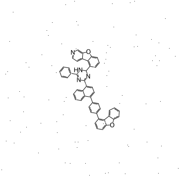 c1ccc(C2=NC(c3ccc(-c4ccc(-c5cccc6oc7ccccc7c56)cc4)c4ccccc34)=NC(c3cccc4oc5cnccc5c34)N2)cc1